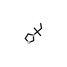 CCC(C)(C)N1CCOC1